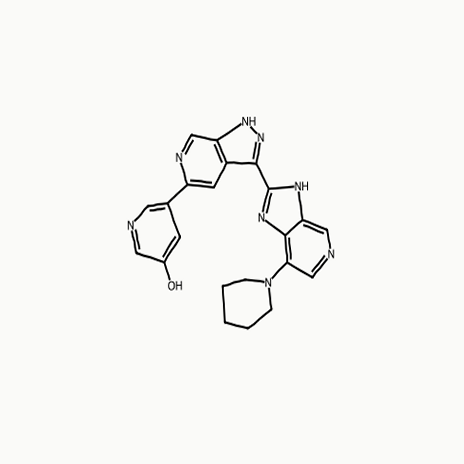 Oc1cncc(-c2cc3c(-c4nc5c(N6CCCCC6)cncc5[nH]4)n[nH]c3cn2)c1